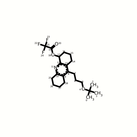 CC(C)(C)OCCCc1c2c(nc3c1CCCC3OC(=O)C(F)(F)F)CCCC2